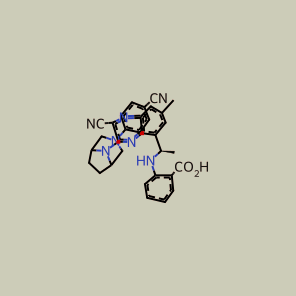 Cc1cc([C@@H](C)Nc2ccccc2C(=O)O)c2nc(N3C4CCC3CN(c3ccc(C#N)cc3)C4)c(C#N)nc2c1